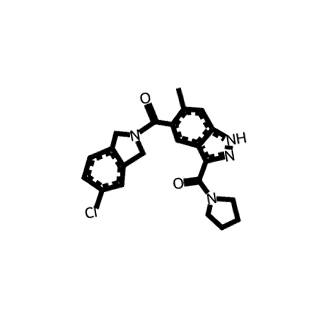 Cc1cc2[nH]nc(C(=O)N3CCCC3)c2cc1C(=O)N1Cc2ccc(Cl)cc2C1